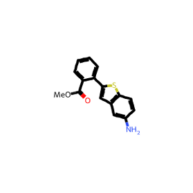 COC(=O)c1ccccc1-c1cc2cc(N)ccc2s1